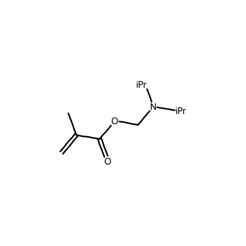 C=C(C)C(=O)OCN(C(C)C)C(C)C